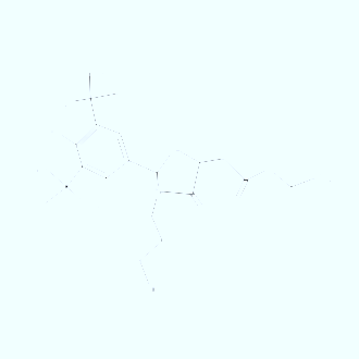 CCOC(=O)CC1SC(c2cc(C(C)(C)C)c(O)c(C(C)(C)C)c2)N(CCCBr)C1=O